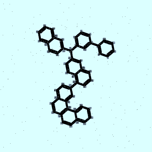 c1ccc(-c2cccc(N(c3ccc4ccccc4c3)c3ccc4c(-c5ccc6ccc7ccc8ccccc8c7c6c5)cccc4c3)c2)cc1